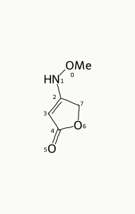 CONC1=CC(=O)OC1